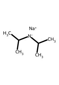 CC(C)[N-]C(C)C.[Na+]